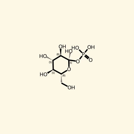 O=P(O)(O)O[C@@]1(O)O[C@H](CO)[C@@H](O)[C@H](O)[C@H]1O